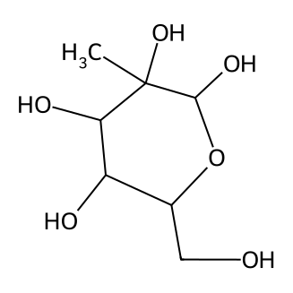 CC1(O)C(O)OC(CO)C(O)C1O